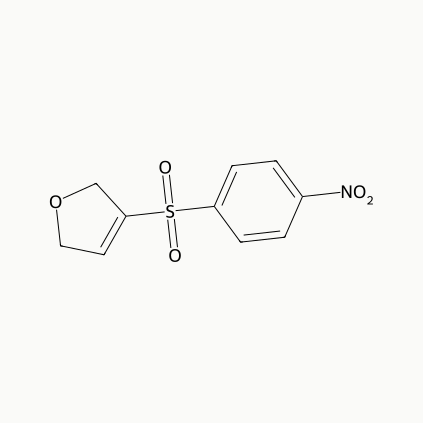 O=[N+]([O-])c1ccc(S(=O)(=O)C2=CCOC2)cc1